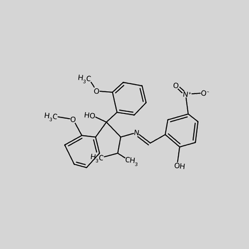 COc1ccccc1C(O)(c1ccccc1OC)C(N=Cc1cc([N+](=O)[O-])ccc1O)C(C)C